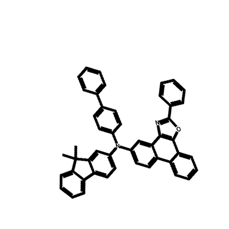 CC1(C)c2ccccc2-c2ccc(N(c3ccc(-c4ccccc4)cc3)c3ccc4c5ccccc5c5oc(-c6ccccc6)nc5c4c3)cc21